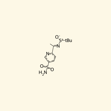 C/C(=N\[S+]([O-])C(C)(C)C)c1ccc(S(N)(=O)=O)cn1